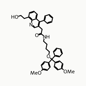 COc1ccc(C(OCCCCNC(=O)Cc2cnc3c(CCO)cccc3c2-c2ccccc2)(c2ccccc2)c2ccc(OC)cc2)cc1